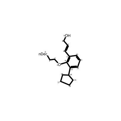 CCCCCCCCCCCCOc1c(/C=C/CO)cccc1C1CCCC1